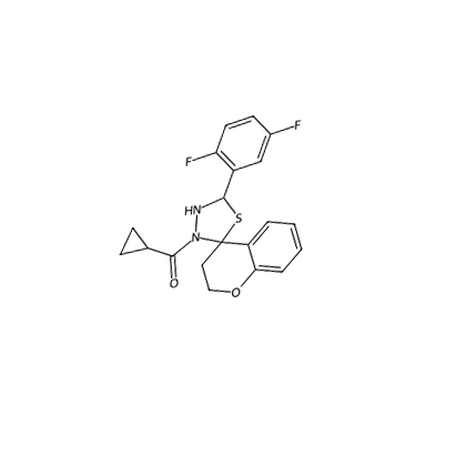 O=C(C1CC1)N1NC(c2cc(F)ccc2F)SC12CCOc1ccccc12